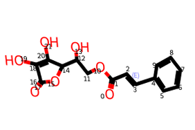 O=C(/C=C/c1ccccc1)OCC(O)C1OC(=O)C(O)=C1O